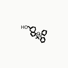 CC(C)(C)[Si](Oc1cccc2c1CCC=C(CO)C2)(c1ccccc1)c1ccccc1